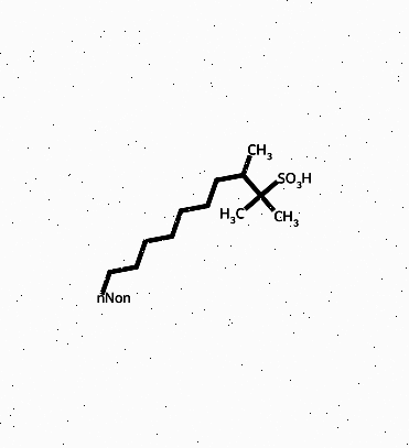 CCCCCCCCCCCCCCCCC(C)C(C)(C)S(=O)(=O)O